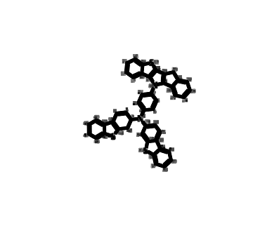 C1=CC(N(c2ccc(-n3c4c(c5sc6ccccc6c53)Cc3ccccc3-4)cc2)c2ccc3c(c2)sc2ccccc23)Cc2sc3ccccc3c21